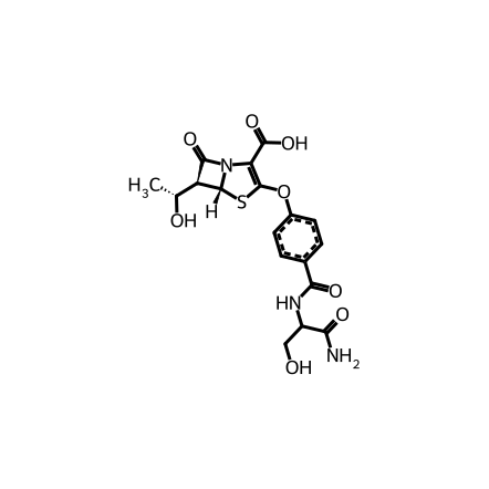 C[C@@H](O)[C@H]1C(=O)N2C(C(=O)O)=C(Oc3ccc(C(=O)NC(CO)C(N)=O)cc3)S[C@H]12